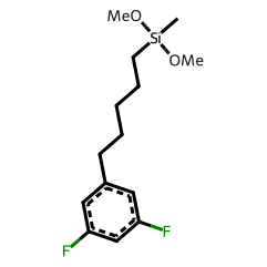 CO[Si](C)(CCCCCc1cc(F)cc(F)c1)OC